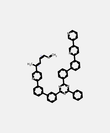 C=N/C=C\C=C(/C)c1ccc(-c2cccc(-c3cccc(-c4nc(-c5ccccc5)nc(-c5cccc(-c6cccc(-c7ccc(-c8cccnc8)cn7)c6)c5)n4)c3)c2)nc1